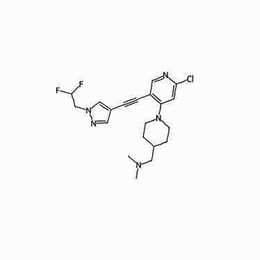 CN(C)CC1CCN(c2cc(Cl)ncc2C#Cc2cnn(CC(F)F)c2)CC1